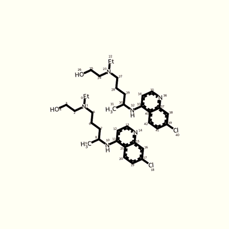 CCN(CCO)CCCC(C)Nc1ccnc2cc(Cl)ccc12.CCN(CCO)CCCC(C)Nc1ccnc2cc(Cl)ccc12